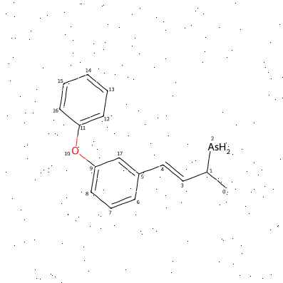 CC([AsH2])C=Cc1cccc(Oc2ccccc2)c1